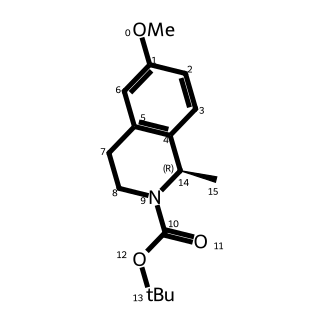 COc1ccc2c(c1)CCN(C(=O)OC(C)(C)C)[C@@H]2C